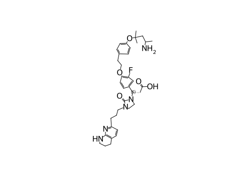 CC(N)CC(C)(C)Oc1ccc(CCOc2ccc([C@H](CC(=O)O)N3CCN(CCCc4ccc5c(n4)NCCC5)C3=O)cc2F)cc1